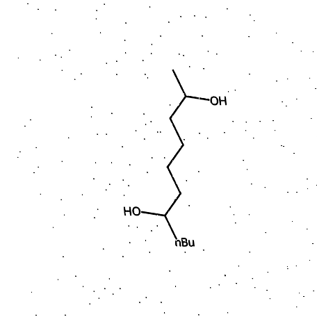 CCCCC(O)CCCCC(C)O